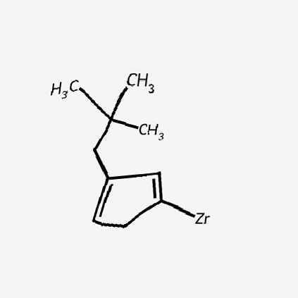 CC(C)(C)CC1=CC[C]([Zr])=C1